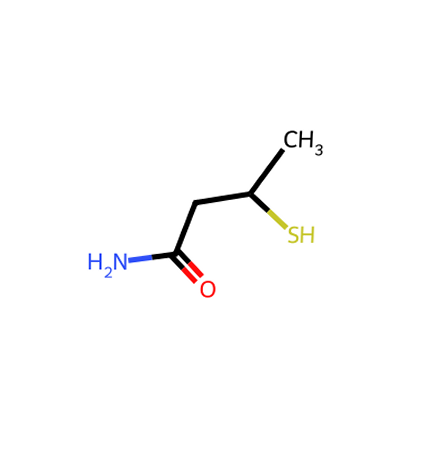 CC(S)CC(N)=O